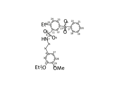 CCOc1cc(CCNS(=O)(=O)c2cc(S(=O)(=O)c3ccccc3)ccc2CC)ccc1OC